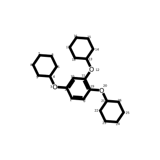 [c]1cc(OC2CCCCC2)cc(OC2CCCCC2)c1OC1CCCCC1